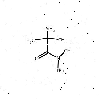 CN(C(=O)C(C)(C)[SiH3])C(C)(C)C